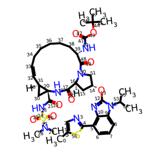 Cc1cnc(-c2cccc3c2nc(O[C@@H]2C[C@H]4C(=O)N[C@]5(C(=O)NS(=O)(=O)N(C)C)C[C@H]5/C=C\CCCCC[C@H](NC(=O)OC(C)(C)C)C(=O)N4C2)n3C(C)C)s1